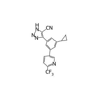 N#Cc1[nH]nnc1-c1cc(-c2ccc(C(F)(F)F)nc2)cc(C2CC2)c1